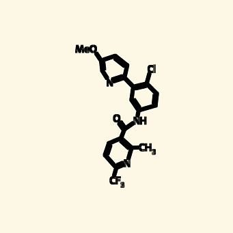 COc1ccc(-c2cc(NC(=O)c3ccc(C(F)(F)F)nc3C)ccc2Cl)nc1